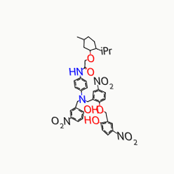 CC1CCC(C(C)C)C(OCC(=O)Nc2ccc(N(Cc3cc([N+](=O)[O-])ccc3O)Cc3cc([N+](=O)[O-])ccc3OCc3cc([N+](=O)[O-])ccc3O)cc2)C1